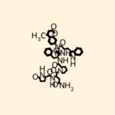 Cc1cc(=O)oc2cc(NC(=O)C(Cc3c[nH]c4ccccc34)NC(=O)C(Cc3ccccc3)NC(=O)C3CCCN3C(=O)C(CC(N)=O)NC(=O)C3CCC(=O)N3)ccc12